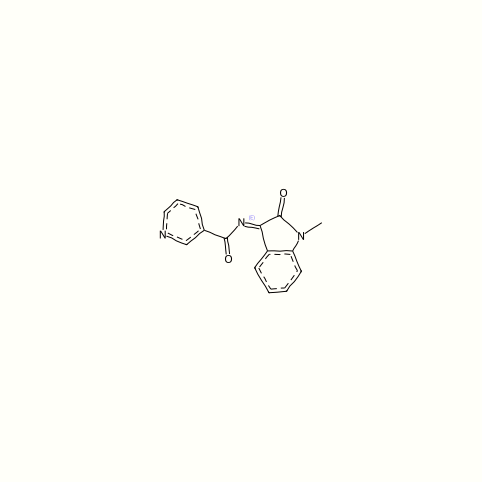 CN1C(=O)/C(=N/C(=O)c2cccnc2)c2ccccc21